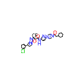 O=C(Nc1ccc(N2CCN(C(=O)CC3CCCCC3)CC2)nc1)c1oc(N2CCC(c3cccc(Cl)c3)C2)nc1C(F)(F)F